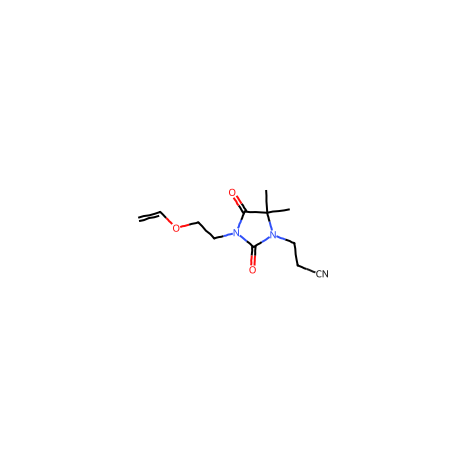 C=COCCN1C(=O)N(CCC#N)C(C)(C)C1=O